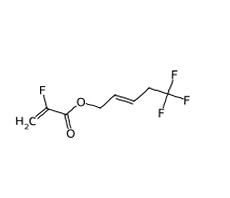 C=C(F)C(=O)OC/C=C/CC(F)(F)F